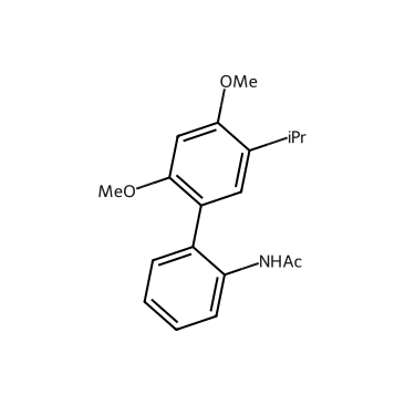 COc1cc(OC)c(C(C)C)cc1-c1ccccc1NC(C)=O